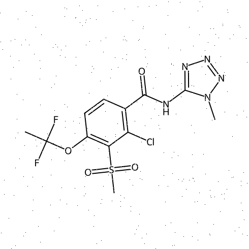 Cn1nnnc1NC(=O)c1ccc(OC(C)(F)F)c(S(C)(=O)=O)c1Cl